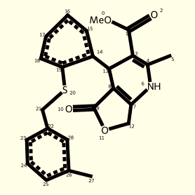 COC(=O)C1=C(C)NC2=C(C(=O)OC2)C1c1ccccc1SCc1cccc(C)c1